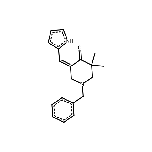 CC1(C)CN(Cc2ccccc2)CC(=Cc2ccc[nH]2)C1=O